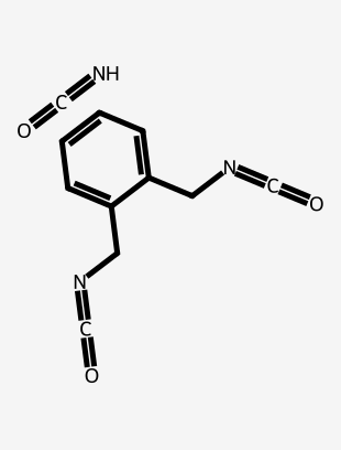 N=C=O.O=C=NCc1ccccc1CN=C=O